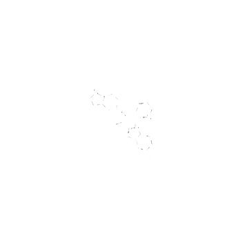 Cc1ccnc(-n2c(C(=O)Nc3ccc4c(ccn4C)c3)cc3cc(F)ccc32)c1